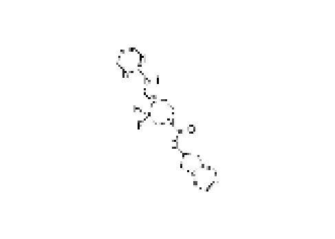 O=C(OC1Cc2ccccc2C1)N1CC[C@H](CNc2ncccn2)C(F)(F)C1